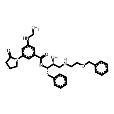 CCNc1cc(C(=O)N[C@@H](Cc2ccccc2)[C@@H](O)CNCCOCc2ccccc2)cc(N2CCCC2=O)c1